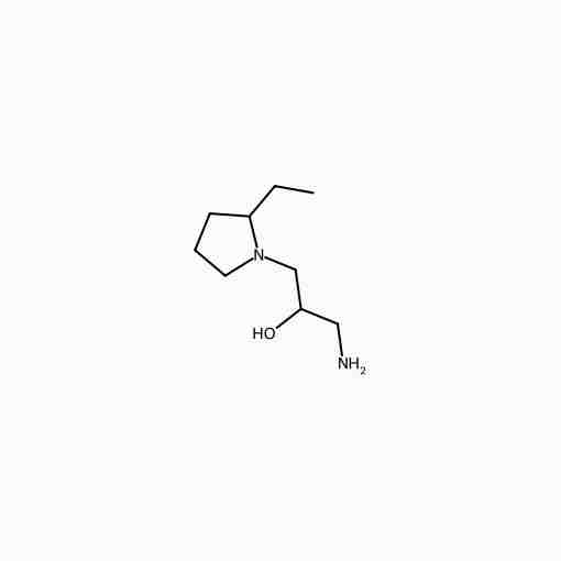 CCC1CCCN1CC(O)CN